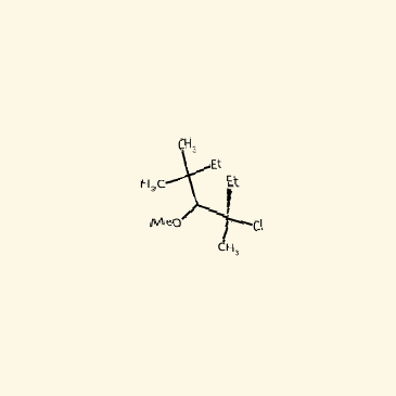 CCC(C)(C)C(OC)[C@@](C)(Cl)CC